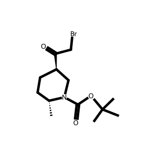 C[C@@H]1CC[C@@H](C(=O)CBr)CN1C(=O)OC(C)(C)C